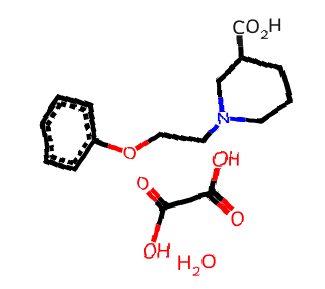 O.O=C(O)C(=O)O.O=C(O)C1CCCN(CCOc2ccccc2)C1